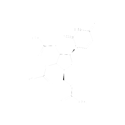 CCCCC(=O)OC[C@@H]1O[C@H](n2ccc(=O)[nH]c2=O)C(OC(=O)CCCC)C1OC(=O)CCCC